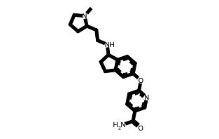 CN1CCCC1CCNC1CCc2cc(Oc3ccc(C(N)=O)cn3)ccc21